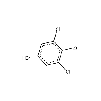 Br.Clc1cccc(Cl)[c]1[Zn]